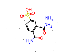 N.NC(=O)c1ccc(S(=O)(=O)O)cc1C(N)=O